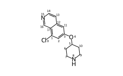 Clc1cc(OC2CCNCC2)cc2ccncc12